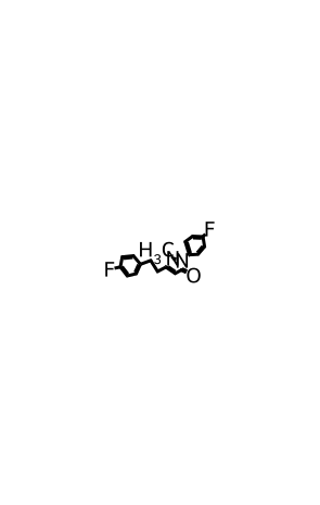 Cn1c(CCc2ccc(F)cc2)cc(=O)n1-c1ccc(F)cc1